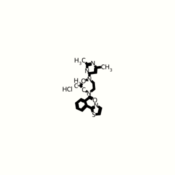 Cc1cc(N2CCN(C(=O)c3ccccc3-c3nccs3)C[C@H](C)O2)nc(C)n1.Cl